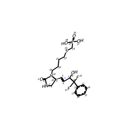 O=C1NC[C@H](/C=C/C(O)C(F)(F)c2ccccc2)N1CCCCSCP(=O)(O)O